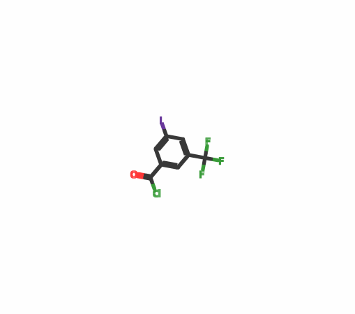 O=C(Cl)c1cc(I)cc(C(F)(F)F)c1